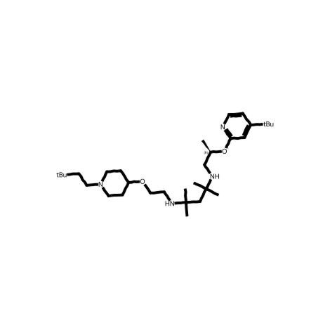 C[C@H](CNC(C)(C)CC(C)(C)NCCOC1CCN(CCC(C)(C)C)CC1)Oc1cc(C(C)(C)C)ccn1